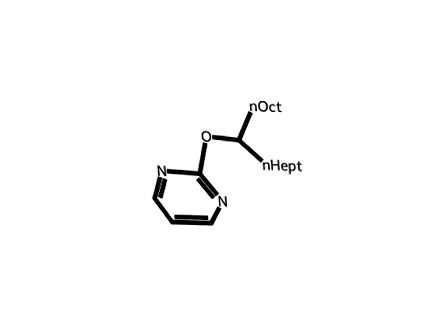 CCCCCCCCC(CCCCCCC)Oc1ncccn1